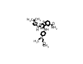 CCN(CCOC)[C@H]1CC[C@H](Nc2nc(Nc3ccn(C(C)C)n3)nc3sc4c(c23)C[C@H](C(N)=O)CC4)CC1